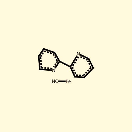 N#[C][Fe].c1ccc(-c2ccccn2)nc1